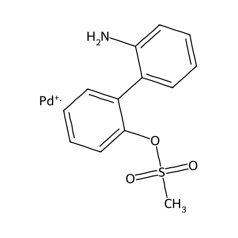 CS(=O)(=O)Oc1ccccc1-c1ccccc1N.[Pd+]